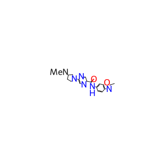 CNC1CCN(c2cnc(C(=O)Nc3ccc4nc(C)oc4c3)cn2)C1